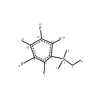 CC[Si](C)(C)c1c(F)c(F)c(C)c(F)c1F